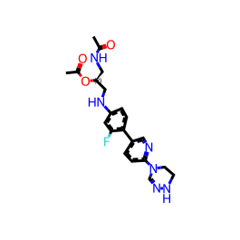 CC(=O)NC[C@@H](CNc1ccc(-c2ccc(N3C=NNCC3)nc2)c(F)c1)OC(C)=O